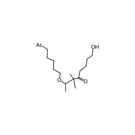 CC(=O)CCCCCOC(C)C(C)(C)C(=O)CCCCO